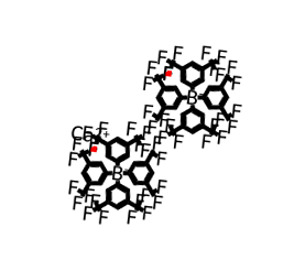 FC(F)(F)c1cc([B-](c2cc(C(F)(F)F)cc(C(F)(F)F)c2)(c2cc(C(F)(F)F)cc(C(F)(F)F)c2)c2cc(C(F)(F)F)cc(C(F)(F)F)c2)cc(C(F)(F)F)c1.FC(F)(F)c1cc([B-](c2cc(C(F)(F)F)cc(C(F)(F)F)c2)(c2cc(C(F)(F)F)cc(C(F)(F)F)c2)c2cc(C(F)(F)F)cc(C(F)(F)F)c2)cc(C(F)(F)F)c1.[Ca+2]